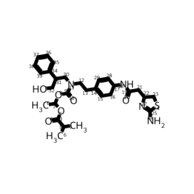 CC(OC(=O)C(C)C)OC(=O)N(CCC1=CCC(NC(=O)CC2CSC(N)=N2)C=C1)CC(CO)c1ccccc1